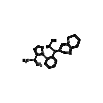 C=C(C)c1ccnn1-c1ccccc1N(C(=O)O)c1cnc2ccccc2c1